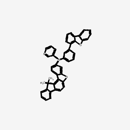 CC1(C)c2ccccc2-c2ccc3sc4cc(N(c5cccnc5)c5cccc(-c6cccc7c6oc6ccccc67)c5)ccc4c3c21